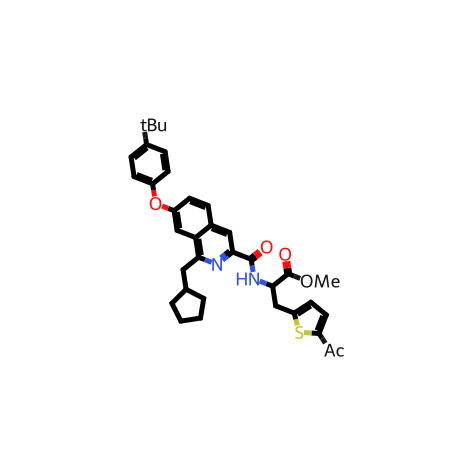 COC(=O)C(Cc1ccc(C(C)=O)s1)NC(=O)c1cc2ccc(Oc3ccc(C(C)(C)C)cc3)cc2c(CC2CCCC2)n1